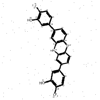 Oc1cc(-c2ccc3c(c2)Nc2cc(-c4ccc(C(F)(F)F)c(O)c4)ccc2O3)ccc1C(F)(F)F